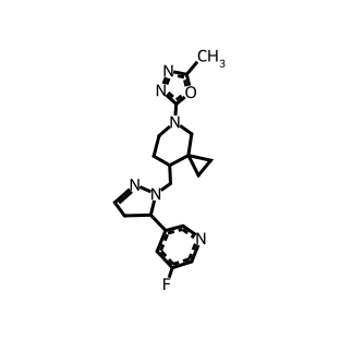 Cc1nnc(N2CCC(CN3N=CCC3c3cncc(F)c3)C3(CC3)C2)o1